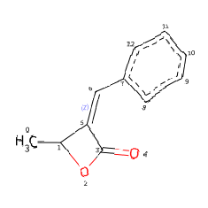 CC1OC(=O)/C1=C\c1ccccc1